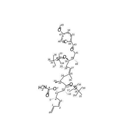 C=C/C=C\[C@H](C)[C@H](OC(N)=O)[C@@H](C)[C@H](O[Si](C)(C)C(C)(C)C)[C@@H](C)C/C(C)=C\[C@H](C)[C@@H](O[Si](C)(C)C(C)(C)C)[C@@H](C)COCc1ccc(OC)cc1